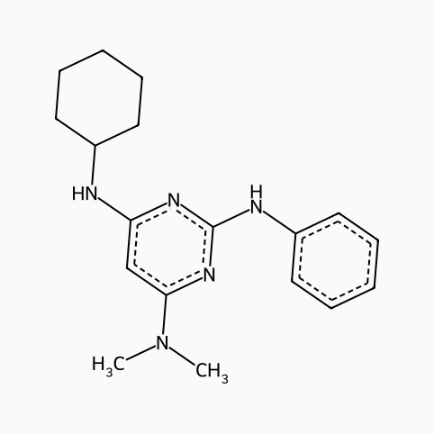 CN(C)c1cc(NC2CCCCC2)nc(Nc2ccccc2)n1